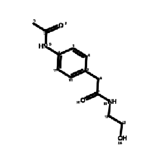 CC(=O)Nc1ccc(CC(=O)NCCO)cc1